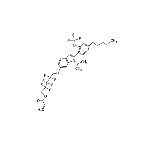 C=CC(=O)OCC(F)(F)C(F)(F)C(F)(F)COc1ccc2cc(-c3ccc(CCCCC)cc3OC(F)(F)F)n(C(C)C)c2c1